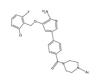 CC(=O)N1CCN(C(=O)c2ccc(-c3cnc(N)c(OCc4c(F)cccc4Cl)c3)cc2)CC1